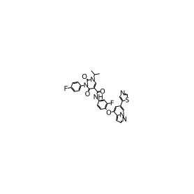 CC(C)n1cc(C(=O)Nc2ccc(Oc3cc(-c4cncs4)cn4nccc34)c(F)c2)c(=O)n(-c2ccc(F)cc2)c1=O